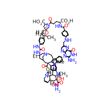 CC[C@]1(NC(=O)Nc2ccc([Si](C)(C)O[Si]3(C)CC(C(=O)O)N(C(=O)CC[C@H](NC(=O)c4ccc(NCc5cnc6nc(N)[nH]c(=O)c6n5)cc4)C(=O)O)C3)cc2)CC2CN(CCc3c([nH]c4ccccc34)[C@@](C(=O)OC)(c3cc4c(cc3OC)N(C)[C@H]3[C@@](O)(C(N)=O)[C@H](O)[C@]5(CC)C=CCN6CC[C@]43[C@H]65)C2)C1